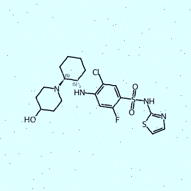 O=S(=O)(Nc1nccs1)c1cc(Cl)c(N[C@H]2CCCC[C@@H]2N2CCC(O)CC2)cc1F